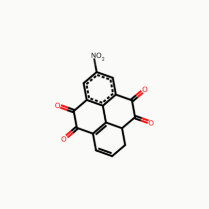 O=C1C(=O)c2cc([N+](=O)[O-])cc3c2C2=C1C=CCC2C(=O)C3=O